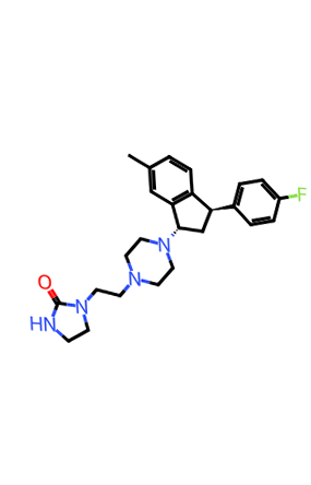 Cc1ccc2c(c1)[C@@H](N1CCN(CCN3CCNC3=O)CC1)C[C@@H]2c1ccc(F)cc1